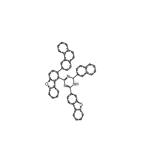 c1ccc2cc(C3N=C(c4c(-c5ccc6ccc7ccccc7c6c5)ccc5oc6ccccc6c45)N=C(c4ccc5c(c4)sc4ccccc45)N3)ccc2c1